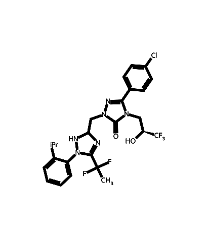 CC(C)c1ccccc1N1NC(Cn2nc(-c3ccc(Cl)cc3)n(C[C@H](O)C(F)(F)F)c2=O)N=C1C(C)(F)F